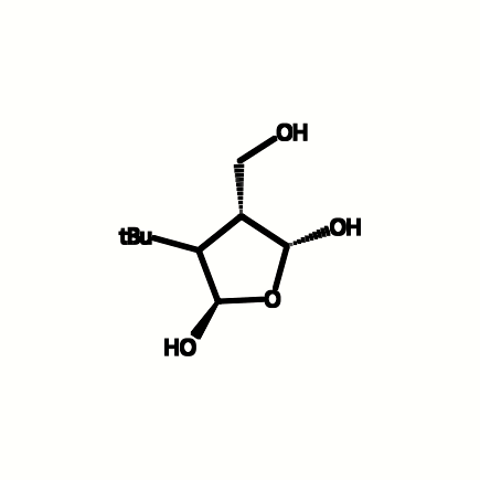 CC(C)(C)C1[C@H](O)O[C@@H](O)[C@H]1CO